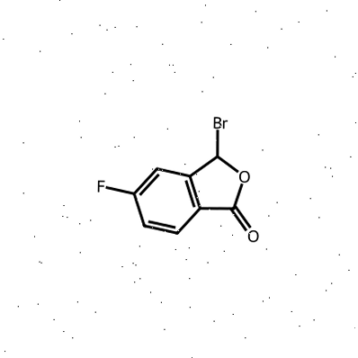 O=C1OC(Br)c2cc(F)ccc21